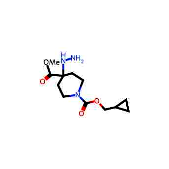 COC(=O)C1(NN)CCN(C(=O)OCC2CC2)CC1